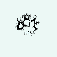 CN(CCC(=O)O)C(=O)Oc1nsnc1-c1c(Cl)cccc1Cl